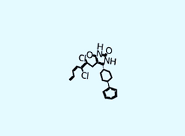 C=C/C=C\C(Cl)=C(/Cl)Cc1c(=O)[nH]c(=O)[nH]c1[C@H]1CC[C@H](c2ccccc2)CC1